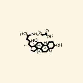 C[C@H](CCC(=O)O)[C@H]1CC[C@H]2[C@@H]3CC[C@@H]4C[C@H](O)CC[C@]4(C)[C@H]3C[C@H](O)[C@]12C.NCC(=O)O